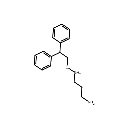 NCCC[SiH2]OCC(c1ccccc1)c1ccccc1